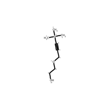 C[Si](C)(C)C#CCOCCO